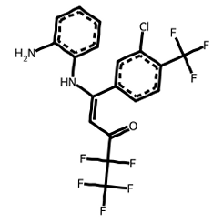 Nc1ccccc1NC(=CC(=O)C(F)(F)C(F)(F)F)c1ccc(C(F)(F)F)c(Cl)c1